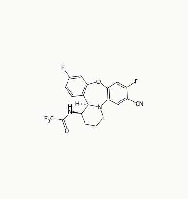 N#Cc1cc2c(cc1F)Oc1cc(F)ccc1[C@@H]1[C@H](NC(=O)C(F)(F)F)CCCN21